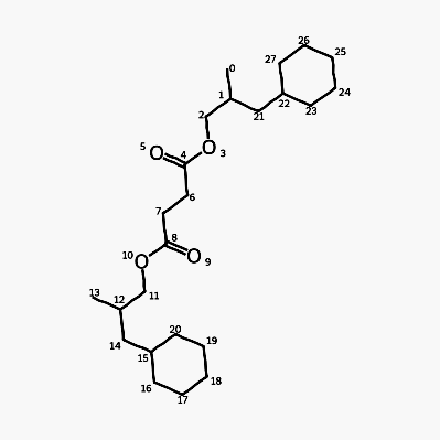 CC(COC(=O)CCC(=O)OCC(C)CC1CCCCC1)CC1CCCCC1